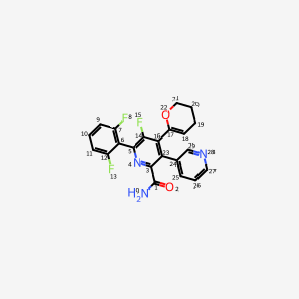 NC(=O)c1nc(-c2c(F)cccc2F)c(F)c(C2=CCCCO2)c1-c1cccnc1